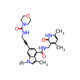 Cc1cc(C)c(CNC(=O)c2cc(C#CCNC(=O)N3CCOCC3)cc3c2c(C)cn3C(C)C)c(=O)[nH]1